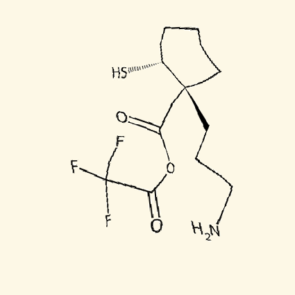 NCCC[C@]1(C(=O)OC(=O)C(F)(F)F)CCC[C@H]1S